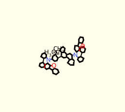 C[Si]1(C)c2cc(N(c3ccccc3-c3ccccc3)c3cccc4c3oc3ccccc34)ccc2-c2cc3c4ccccc4c(N(c4ccc5c(c4)oc4ccccc45)c4ccccc4-c4ccccc4)cc3c3cccc1c23